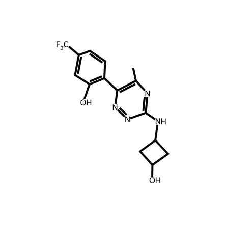 Cc1nc(NC2CC(O)C2)nnc1-c1ccc(C(F)(F)F)cc1O